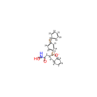 O=C(CC(Cc1ccccc1)[S+]([O-])c1ccc(Sc2ccccc2)cc1)NO